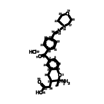 CC1(N)Oc2ccc(C(=O)c3ccc(C=NN4CCOCC4)cc3)cc2CC1CC(=O)O.Cl